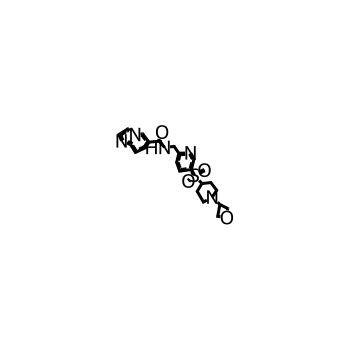 O=C(NCc1ccc(S(=O)(=O)C2CCN(C3COC3)CC2)cn1)c1ccc2nccn2c1